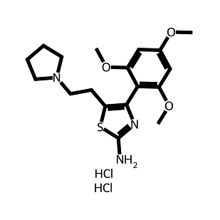 COc1cc(OC)c(-c2nc(N)sc2CCN2CCCC2)c(OC)c1.Cl.Cl